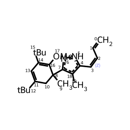 C=C/C=C\c1[nH]nc(C2(C)CC(C(C)(C)C)=CC(C(C)(C)C)=C2OC)c1C